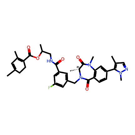 CC1=CC(C)=C(C(=O)OC(C)CNC(=O)c2cc(F)cc(CN3C(=O)c4ccc(-c5c(C)cnn5C)cc4N(C)C(=O)[C@H]3C)c2)CC1